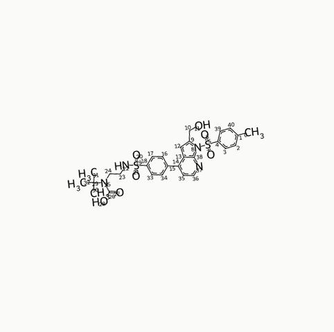 Cc1ccc(S(=O)(=O)n2c(CO)cc3c(-c4ccc(S(=O)(=O)NCCN(C(=O)O)C(C)(C)C)cc4)ccnc32)cc1